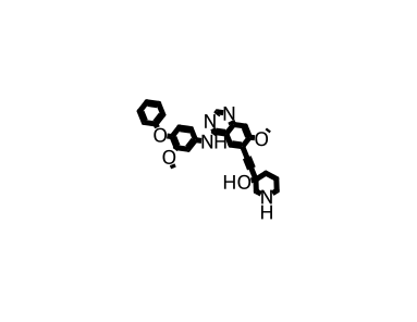 COc1cc2ncnc(Nc3ccc(Oc4ccccc4)c(OC)c3)c2cc1C#CC1(O)CCCNC1